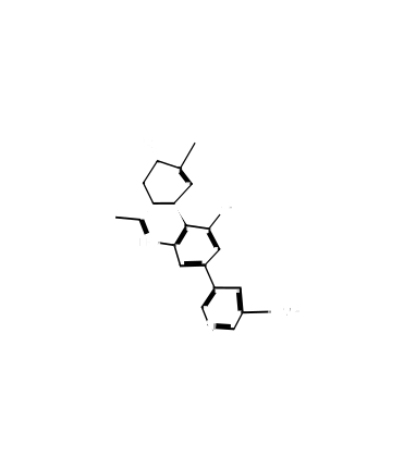 C=C(C)[C@@H]1C[C@H](O)C(C)=C[C@H]1c1c(O)cc(-c2cncc(OC)c2)cc1O